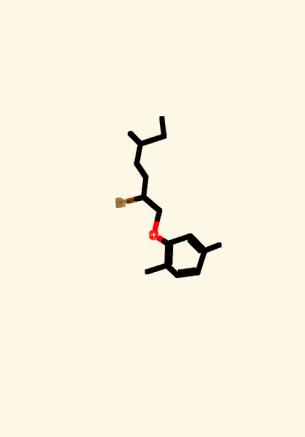 CCC(C)CCC(Br)COc1cc(C)ccc1C